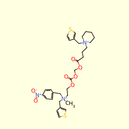 C[N+](CCOC(=O)OCOC(=O)CCC[N+]1(Cc2ccsc2)CCCCC1)(Cc1ccc([N+](=O)[O-])cc1)Cc1ccsc1